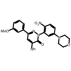 CCCc1cc(-c2cccc(OC)c2)nn(-c2cc(N3CCOCC3)ccc2[N+](=O)[O-])c1=O